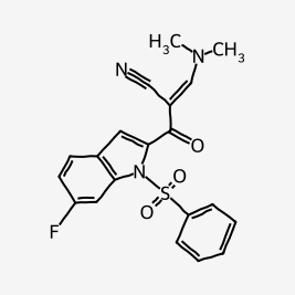 CN(C)C=C(C#N)C(=O)c1cc2ccc(F)cc2n1S(=O)(=O)c1ccccc1